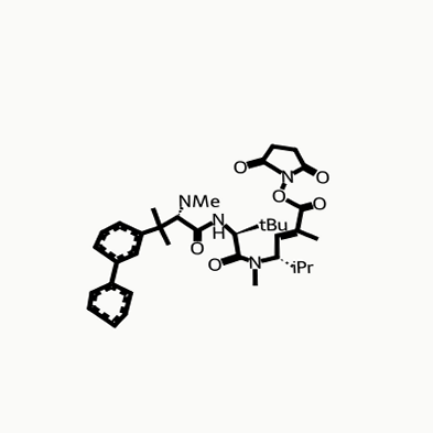 CN[C@H](C(=O)N[C@H](C(=O)N(C)[C@H](/C=C(\C)C(=O)ON1C(=O)CCC1=O)C(C)C)C(C)(C)C)C(C)(C)c1cccc(-c2ccccc2)c1